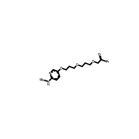 CC(C)C(=O)COCCCOCCCOc1ccc(NC(C)(C)C)nc1